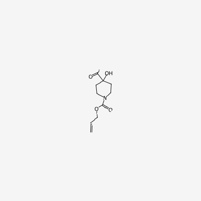 C=CCOC(=O)N1CCC(O)(C(C)=O)CC1